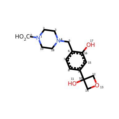 O=C(O)N1CCN(Cc2ccc(C3(O)COC3)cc2O)CC1